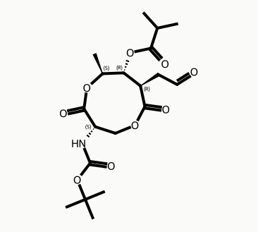 CC(C)C(=O)O[C@H]1[C@H](C)OC(=O)[C@@H](NC(=O)OC(C)(C)C)COC(=O)[C@@H]1CC=O